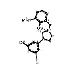 COc1cccc(CN2CCC(c3cc(Cl)cc(Cl)c3)C2)c1OC